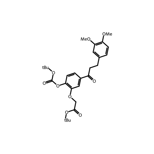 COc1ccc(CCC(=O)c2ccc(OC(=O)OC(C)(C)C)c(OCC(=O)OC(C)(C)C)c2)cc1OC